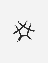 O=C1C(F)C(F)(F)C(F)(F)C1(F)F